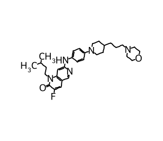 CC(C)CCn1c(=O)c(F)cc2cnc(Nc3ccc(N4CCC(CCCN5CCOCC5)CC4)cc3)cc21